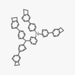 c1cc(C(c2ccc(-c3ccc4c(c3)CC4)cc2)c2ccc(-c3ccc4c(c3)CC4)cc2)cc(N(c2ccc(-c3ccc4c(c3)CC4)cc2)c2ccc(-c3ccc4c(c3)CC4)cc2)c1